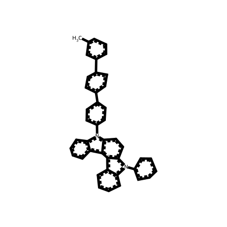 Cc1cccc(-c2ccc(-c3ccc(-n4c5ccccc5c5c6c7ccccc7n(-c7ccccc7)c6ccc54)cc3)cc2)c1